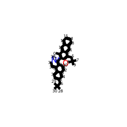 Cc1c2c(c(CC(C)(C)C)c3cc4ccccc4cc13)Oc1cc3cc(CC(C)(C)C)ccc3c3cc[n+](C)c-2c13